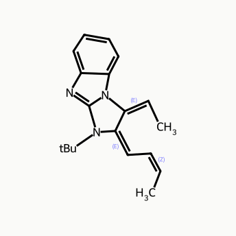 C\C=C/C=c1\c(=C/C)n2c3ccccc3nc2n1C(C)(C)C